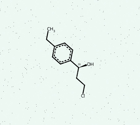 CCc1ccc([C@@H](O)CCCl)cc1